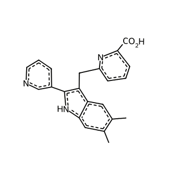 Cc1cc2[nH]c(-c3cccnc3)c(Cc3cccc(C(=O)O)n3)c2cc1C